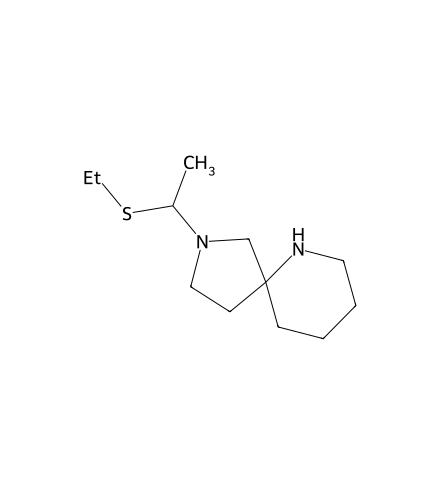 CCSC(C)N1CCC2(CCCCN2)C1